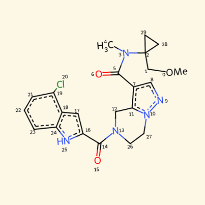 COCC1(N(C)C(=O)c2cnn3c2CN(C(=O)c2cc4c(Cl)cccc4[nH]2)CC3)CC1